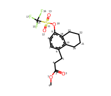 COC(=O)CCc1ccc(OS(=O)(=O)C(F)(F)F)c2c1CCCC2